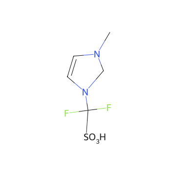 CN1C=CN(C(F)(F)S(=O)(=O)O)C1